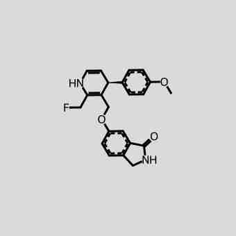 COc1ccc([C@@H]2C=CNC(CF)=C2COc2ccc3c(c2)C(=O)NC3)cc1